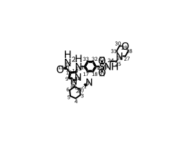 N#C[C@@H]1CCCC[C@H]1n1cc(C(N)=O)c(Nc2ccc(S(=O)(=O)NCCN3CCOCC3)cc2)n1